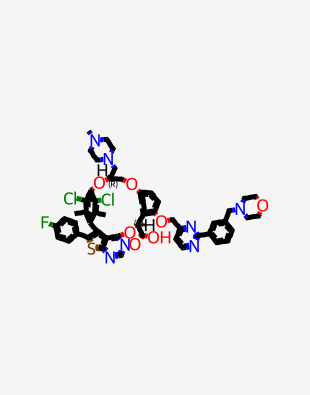 Cc1c(Cl)c2c(Cl)c(C)c1-c1c(-c3ccc(F)cc3)sc3ncnc(c13)O[C@@H](C(=O)O)c1cc(ccc1OCc1ccnc(-c3cccc(CN4CCOCC4)c3)n1)OC[C@@H](CN1CCN(C)CC1)O2